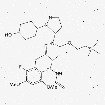 C=CNCC(C)/C(=C\N(COCC[Si](C)(C)C)C1CC=NN1C1CCC(O)CC1)Cc1c(F)c(OC)cc(OC)c1F